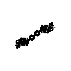 CC(C)C(N[S+]([O-])C(C)(C)C)c1ncc(-c2ccc(-c3ccc(-c4cnc(C(N[S+]([O-])C(C)(C)C)C(C)C)[nH]4)cc3)cc2)[nH]1